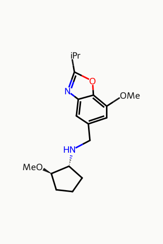 COc1cc(CN[C@@H]2CCC[C@H]2OC)cc2nc(C(C)C)oc12